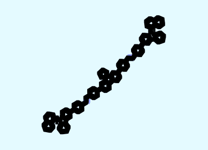 C(=C\c1ccc(-c2ccc3c(c2)c2ccccc2n3-c2cccc3ccccc23)cc1)/c1ccc(-c2ccc3c(c2)C2(CCCC2)c2cc(-c4ccc(/C=C/c5ccc(-c6ccc7c(c6)c6ccccc6n7-c6cccc7ccccc67)cc5)cc4)ccc2-3)cc1